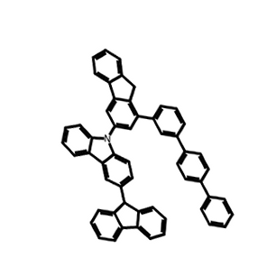 c1ccc(-c2ccc(-c3cccc(-c4cc(-n5c6ccccc6c6cc(C7c8ccccc8-c8ccccc87)ccc65)cc5c4Cc4ccccc4-5)c3)cc2)cc1